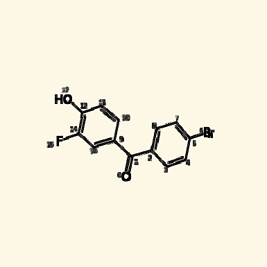 O=C(c1ccc(Br)cc1)c1ccc(O)c(F)c1